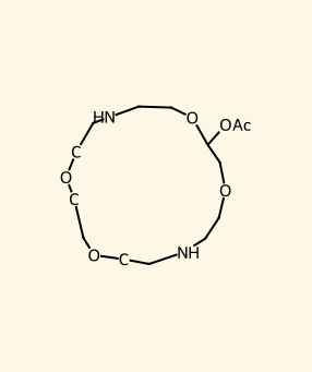 CC(=O)OC1COCCNCCOCCOCCNCCO1